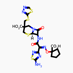 Nc1nc(C(=NOC2(C(=O)O)CCCC2)C(=O)NC2C(=O)N3CC(CSc4nncs4)(C(=O)O)CS[C@H]23)ns1